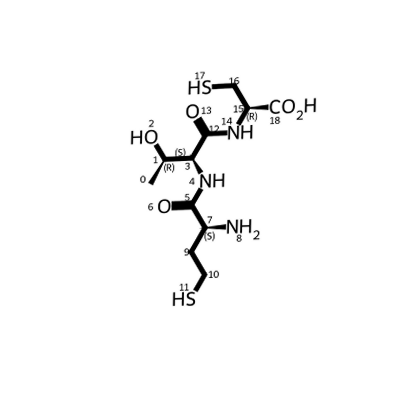 C[C@@H](O)[C@H](NC(=O)[C@@H](N)CCS)C(=O)N[C@@H](CS)C(=O)O